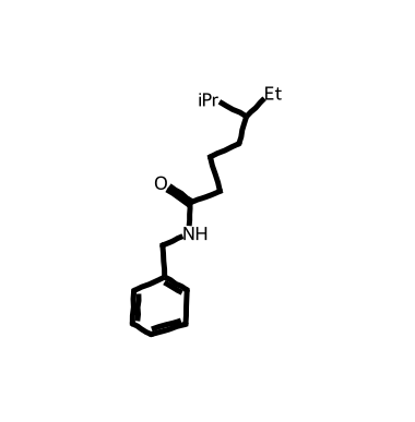 CCC(CCCC(=O)NCc1ccccc1)C(C)C